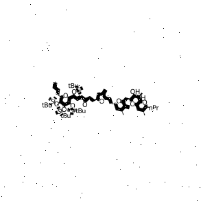 C=CCC[C@@H]1O[C@@H]([C@H](/C=C/C(=O)CC[C@H]2CC(=C)C(CC[C@H]3C[C@@H](C)C(=C)C(C[C@@H]4OC5C[C@@H](C)[C@@H](CCC)O[C@H]5[C@H](C)[C@H]4O)O3)O2)O[Si](C)(C)C(C)(C)C)[C@@H](O[Si](C)(C)C(C)(C)C)[C@@H](O[Si](C)(C)C(C)(C)C)[C@H]1O[Si](C)(C)C(C)(C)C